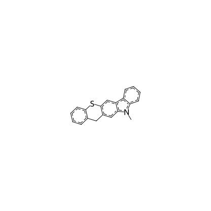 Cn1c2ccccc2c2cc3c(cc21)Cc1ccccc1S3